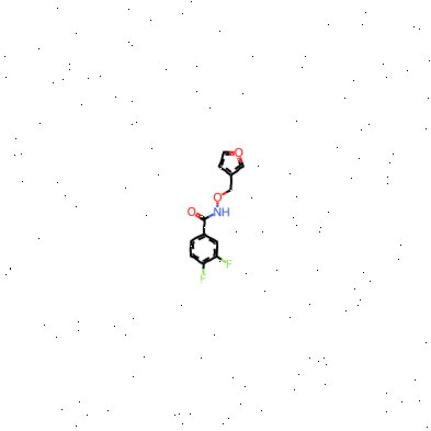 O=C(NOCc1ccoc1)c1ccc(F)c(F)c1